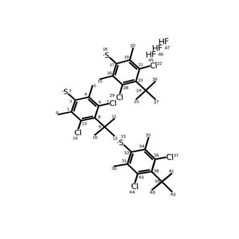 Cc1c([S])c(C)c(Cl)c(C(C)(C)C)c1Cl.Cc1c([S])c(C)c(Cl)c(C(C)(C)C)c1Cl.Cc1c([S])c(C)c(Cl)c(C(C)(C)C)c1Cl.F.F.F